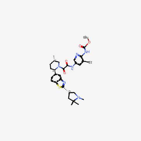 CCc1cc(NC(=O)C(=O)N2C[C@@H](C)CC[C@@H]2c2ccc3sc([C@@H]4CN(C)C(C)(C)C4)nc3c2)cnc1NC(=O)OC(C)(C)C